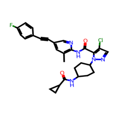 Cc1cc(C#Cc2ccc(F)cc2)cnc1NC(=O)c1c(Cl)cnn1C1CCC(NC(=O)C2CC2)CC1